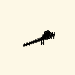 CCCCCCCCCCCCCCCCNc1ccc(C(=O)C(C(=O)O)C(=O)O)cc1